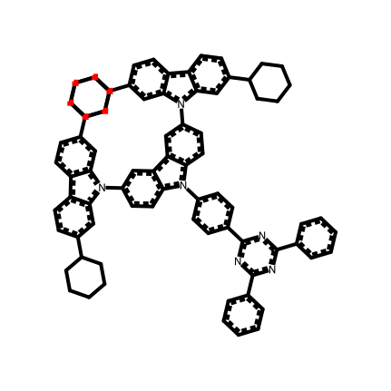 c1ccc(-c2nc(-c3ccccc3)nc(-c3ccc(-n4c5ccc(-n6c7cc(C8CCCCC8)ccc7c7ccc(C8CCCCC8)cc76)cc5c5cc(-n6c7cc(C8CCCCC8)ccc7c7ccc(C8CCCCC8)cc76)ccc54)cc3)n2)cc1